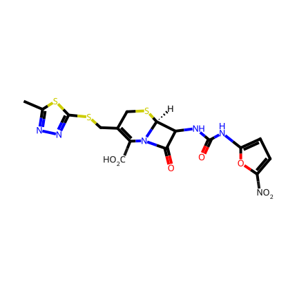 Cc1nnc(SCC2=C(C(=O)O)N3C(=O)C(NC(=O)Nc4ccc([N+](=O)[O-])o4)[C@@H]3SC2)s1